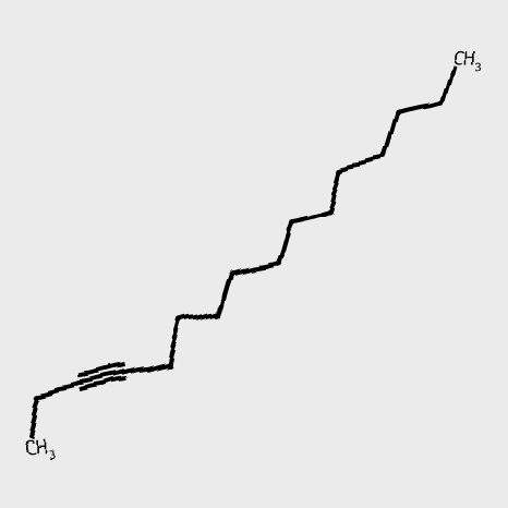 CCC#CCCCCCCCCCCCC